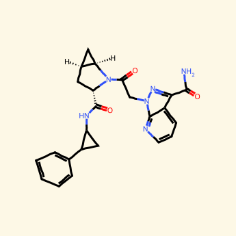 NC(=O)c1nn(CC(=O)N2[C@@H]3C[C@@H]3C[C@H]2C(=O)NC2CC2c2ccccc2)c2ncccc12